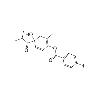 CC1=C(OC(=O)c2ccc(I)cc2)C=CC(O)(C(=O)C(C)C)C1